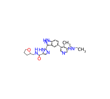 CCNCc1cncc(-c2ccc3[nH]nc(-c4ncc(C(=O)NCC5CCCO5)[nH]4)c3c2)c1C